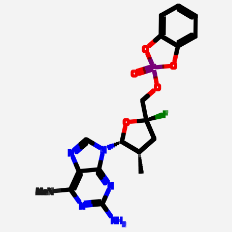 CNc1nc(N)nc2c1ncn2[C@@H]1O[C@](F)(COP2(=O)Oc3ccccc3O2)C[C@@H]1C